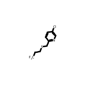 FC(F)(F)CCSCc1ccc(Cl)cn1